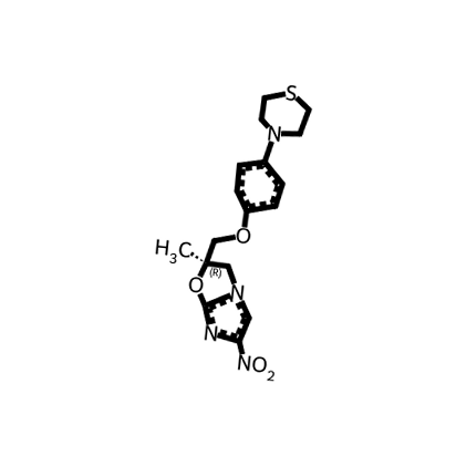 C[C@]1(COc2ccc(N3CCSCC3)cc2)Cn2cc([N+](=O)[O-])nc2O1